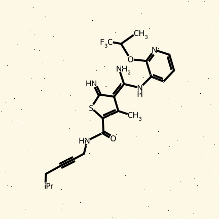 CC1=C(C(=O)NCC#CCC(C)C)SC(=N)/C1=C(\N)Nc1cccnc1OC(C)C(F)(F)F